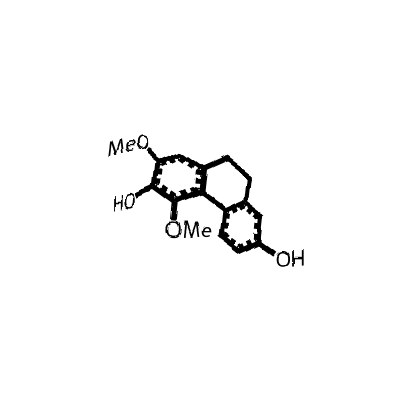 COc1cc2c(c(OC)c1O)-c1ccc(O)cc1CC2